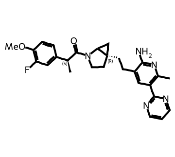 COc1ccc([C@H](C)C(=O)N2CC[C@]3(CCc4cc(-c5ncccn5)c(C)nc4N)CC23)cc1F